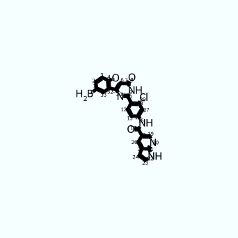 Bc1ccc2oc3c(=O)[nH]c(-c4ccc(NC(=O)c5cnc6[nH]ccc6c5)cc4Cl)nc3c2c1